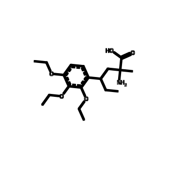 CCOc1ccc(C(CC)CC(C)(N)C(=O)O)c(OCC)c1OCC